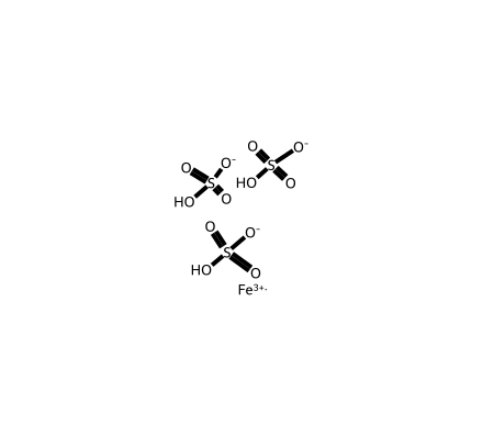 O=S(=O)([O-])O.O=S(=O)([O-])O.O=S(=O)([O-])O.[Fe+3]